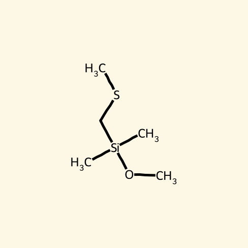 CO[Si](C)(C)CSC